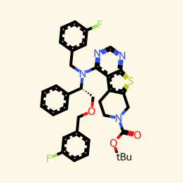 CC(C)(C)OC(=O)N1CCc2c(sc3ncnc(N(Cc4cccc(F)c4)[C@H](COCc4cccc(F)c4)c4ccccc4)c23)C1